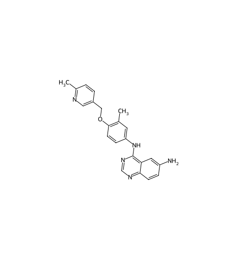 Cc1ccc(COc2ccc(Nc3ncnc4ccc(N)cc34)cc2C)cn1